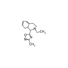 CCN1CCC2=CC=CCC2C1c1nc(C)no1